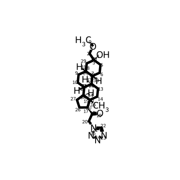 COC[C@@]1(O)CC[C@H]2[C@H](CC[C@@H]3[C@@H]2CC[C@]2(C)[C@@H](C(=O)Cn4cnnn4)CC[C@@H]32)C1